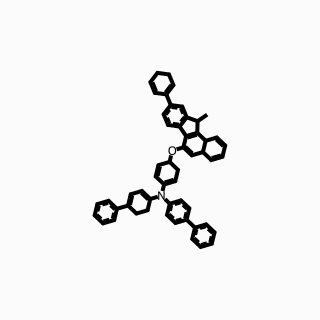 CC1C2=C(C(OC3C=CC(N(C4=CC=C(c5ccccc5)CC4)c4ccc(-c5ccccc5)cc4)=CC3)=CC3C=CC=CC23)c2ccc(C3=CCCC=C3)cc21